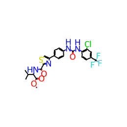 COC(=O)C(NC(=O)c1nc(-c2ccc(NC(=O)Nc3ccc(C(F)(F)F)cc3Cl)cc2)cs1)C(C)C